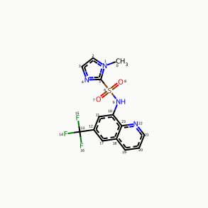 Cn1ccnc1S(=O)(=O)Nc1cc(C(F)(F)F)cc2cccnc12